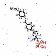 COc1ccc(CCc2ccc([C@@H]3CC[C@@](N)(COP(=O)(O)O)C3)cc2)cc1